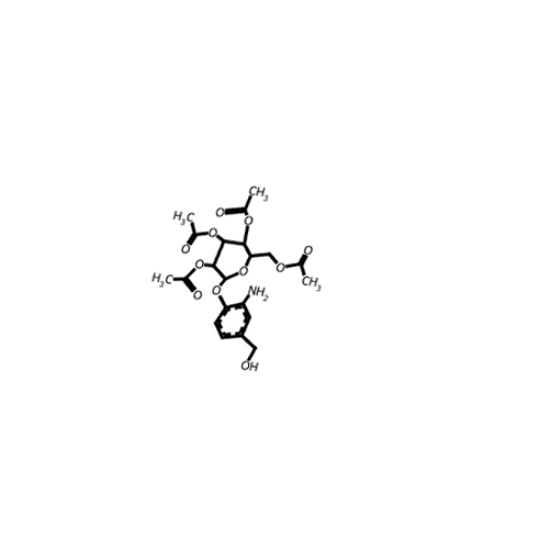 CC(=O)OCC1OC(Oc2ccc(CO)cc2N)C(OC(C)=O)C(OC(C)=O)C1OC(C)=O